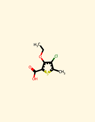 CCOc1c(C(=O)O)sc(C)c1Cl